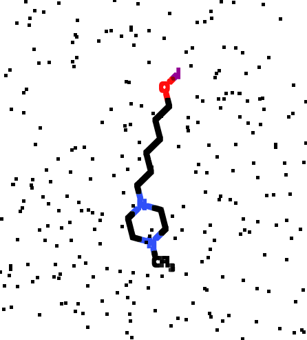 CN1CCN(CCCCCCOI)CC1